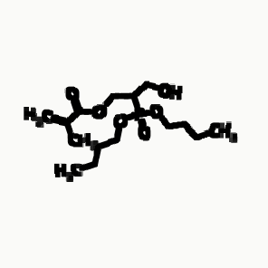 C=C(C)C(=O)OCC(CO)P(=O)(OCCCC)OCCCC